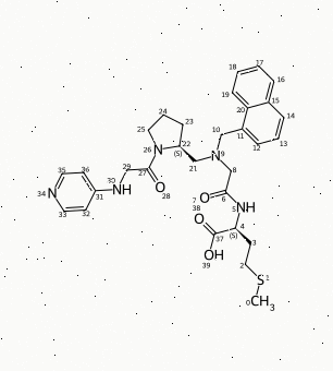 CSCC[C@H](NC(=O)CN(Cc1cccc2ccccc12)C[C@@H]1CCCN1C(=O)CNc1ccncc1)C(=O)O